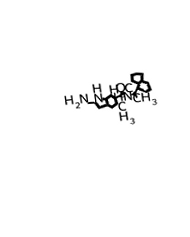 Cc1cc2cc(CN)[nH]c2cc1C(=O)NC(C)(C)c1cccc2ccccc12